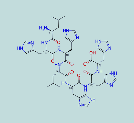 CC(C)C[C@H](NC(=O)[C@H](Cc1c[nH]cn1)NC(=O)[C@H](Cc1c[nH]cn1)NC(=O)[C@@H](N)CC(C)C)C(=O)N[C@@H](Cc1c[nH]cn1)C(=O)N[C@@H](Cc1c[nH]cn1)C(=O)N[C@@H](Cc1c[nH]cn1)C(=O)O